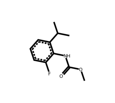 COC(=O)Nc1c(F)cccc1C(C)C